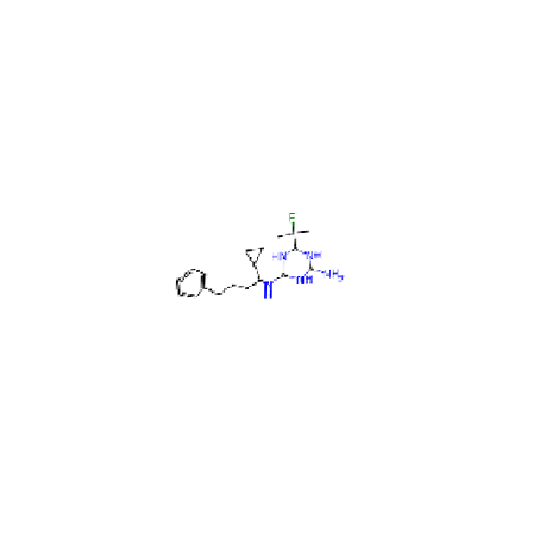 CC(C)(F)C1NC(N)NC(NC(CCCc2ccccc2)C2CC2)N1